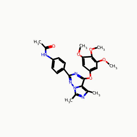 COc1cc(Oc2nc(-c3ccc(NC(C)=O)cc3)nn3c(C)nc(C)c23)cc(OC)c1OC